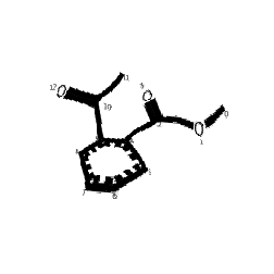 COC(=O)c1ccccc1C(C)=O